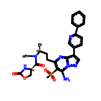 CCCN(C(=O)[C@@H]1COC(=O)N1)[C@H](CC)CCc1nc2c(-c3ccc(-c4ccccc4)nc3)cnn2c(N)c1S(C)(=O)=O